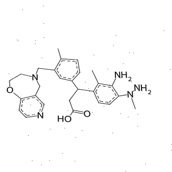 Cc1ccc(C(CC(=O)O)c2ccc(N(C)N)c(N)c2C)cc1CN1CCOc2ccncc2C1